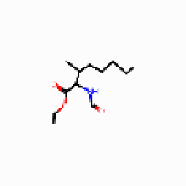 CCCCCC(C)C(NC=O)C(=O)OCC